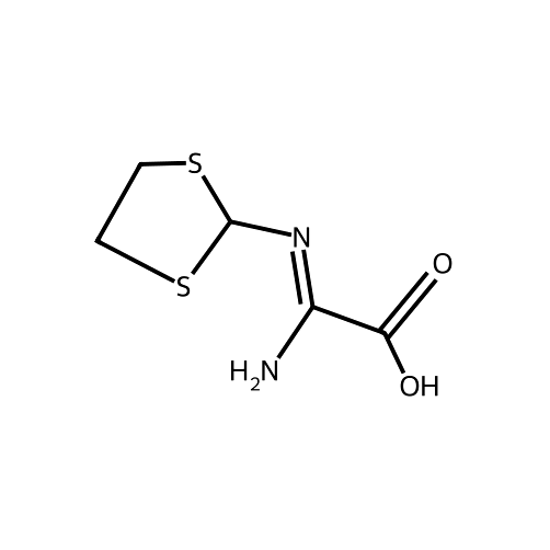 NC(=NC1SCCS1)C(=O)O